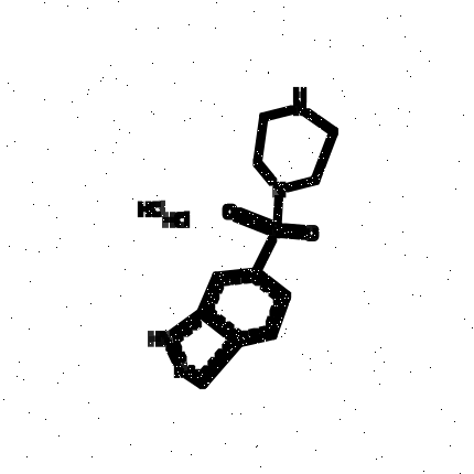 Cl.Cl.O=S(=O)(c1ccc2cn[nH]c2c1)N1CCNCC1